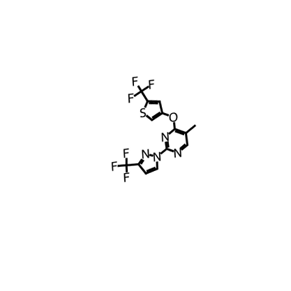 Cc1cnc(-n2ccc(C(F)(F)F)n2)nc1Oc1csc(C(F)(F)F)c1